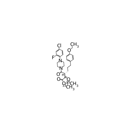 CCOc1ccc(CCC[C@@H](C(=O)N2CCN(c3ccc(Cl)cc3F)CC2)[C@@H]2OC([13CH3])([13CH3])OC2=O)cc1